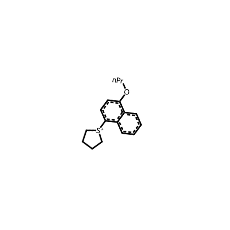 CCCOc1ccc([S+]2CCCC2)c2ccccc12